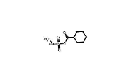 CNS(=O)(=O)OC(=O)C1CCCCC1